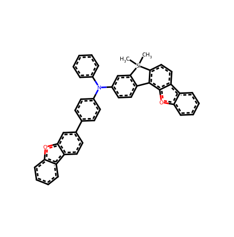 C[Si]1(C)c2cc(N(c3ccccc3)c3ccc(-c4ccc5c(c4)oc4ccccc45)cc3)ccc2-c2c1ccc1c2oc2ccccc21